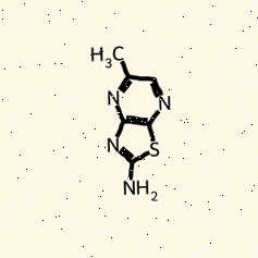 Cc1cnc2sc(N)nc2n1